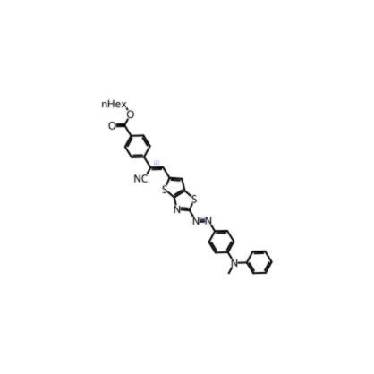 CCCCCCOC(=O)c1ccc(/C(C#N)=C/c2cc3sc(/N=N/c4ccc(N(C)c5ccccc5)cc4)nc3s2)cc1